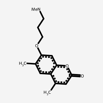 CNCCCOc1cc2oc(=O)cc(C)c2cc1C